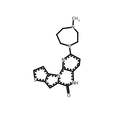 CN1CCCN(c2ccc3[nH]c(=O)c4cc5sccc5n4c3n2)CC1